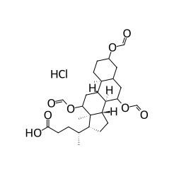 C[C@H](CCC(=O)O)[C@H]1CC[C@H]2[C@@H]3C(OC=O)CC4CC(OC=O)CC[C@]4(C)[C@H]3CC(OC=O)[C@]12C.Cl